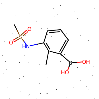 Cc1c(NS(C)(=O)=O)cccc1B(O)O